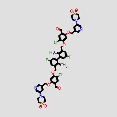 Cc1c(COc2cc(OCc3cncc(N4CCS(=O)(=O)CC4)c3)c(C=O)cc2Cl)cc(F)cc1-c1cc(F)cc(COc2cc(OCc3cncc(N4CCS(=O)(=O)CC4)c3)c(C=O)cc2Cl)c1C